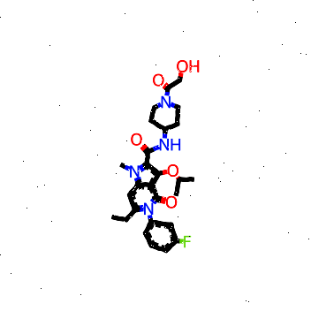 CCc1cc2c(c(OC(C)C)c(C(=O)NC3CCN(C(=O)CO)CC3)n2C)c(=O)n1-c1cccc(F)c1